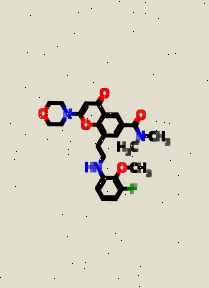 COc1c(F)cccc1NCCc1cc(C(=O)N(C)C)cc2c(=O)cc(N3CCOCC3)oc12